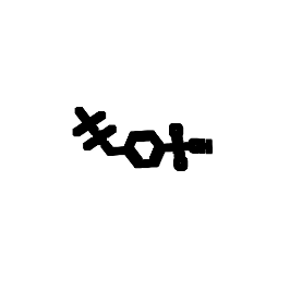 CC(C)(C)[Si](C)(C)Cc1ccc(S(=O)(=O)O)cc1